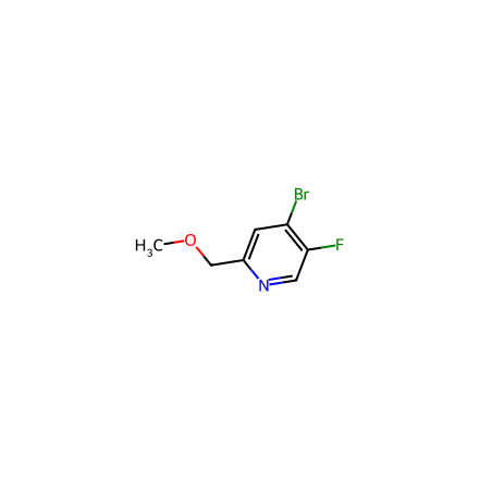 COCc1cc(Br)c(F)cn1